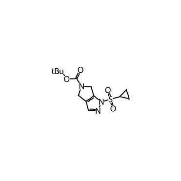 CC(C)(C)OC(=O)N1Cc2cnn(S(=O)(=O)C3CC3)c2C1